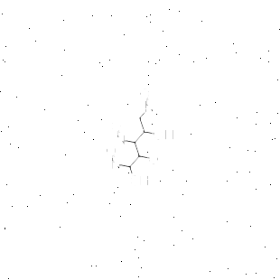 CC(N=O)C(O)C(N=O)C(O)CN=O